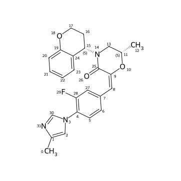 Cc1cn(-c2ccc(C=C3O[C@@H](C)CN([C@H]4CCOc5ccccc54)C3=O)cc2F)cn1